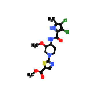 COC(=O)c1cnc(N2CCC(NC(=O)c3[nH]c(C)c(Cl)c3Cl)C(OC)C2)s1